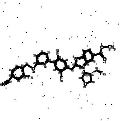 COC(=O)c1ccc2nc(Cc3cc(F)c(-c4cccc(OCc5ccc(C#N)cc5F)n4)cc3F)n([C@H]3COC[C@H]3CF)c2c1